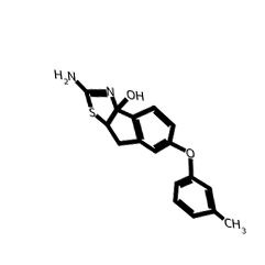 Cc1cccc(Oc2ccc3c(c2)CC2SC(N)=NC32O)c1